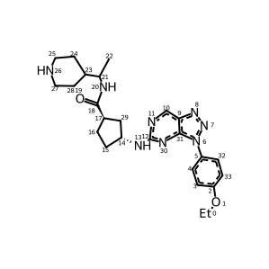 CCOc1ccc(-n2nnc3cnc(N[C@@H]4CC[C@@H](C(=O)NC(C)C5CCNCC5)C4)nc32)cc1